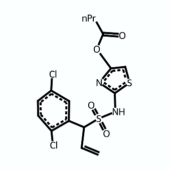 C=CC(c1cc(Cl)ccc1Cl)S(=O)(=O)Nc1nc(OC(=O)CCC)cs1